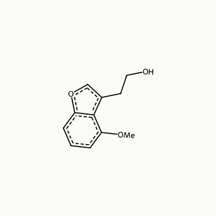 COc1cccc2occ(CCO)c12